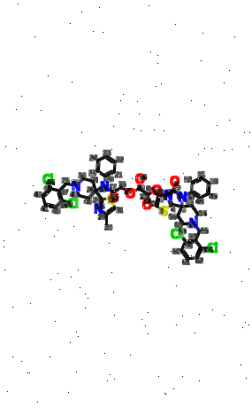 Cc1csc(C2(N(C(=O)COC(=O)C(=O)OCC(=O)N(c3ccccc3)C3(c4nc(C)cs4)CCN(Cc4c(Cl)cccc4Cl)CC3)c3ccccc3)CCN(Cc3c(Cl)cccc3Cl)CC2)n1